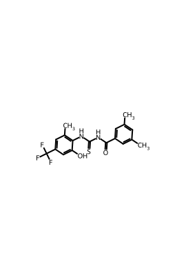 Cc1cc(C)cc(C(=O)NC(=S)Nc2c(C)cc(C(F)(F)F)cc2O)c1